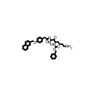 NCCCCC(NC(=O)OCc1ccccc1)C(=O)c1noc(Cc2ccc(OCc3ccc4ccccc4c3)cc2)n1